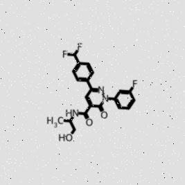 CC(CO)NC(=O)c1cc(-c2ccc(C(F)F)cc2)nn(-c2cccc(F)c2)c1=O